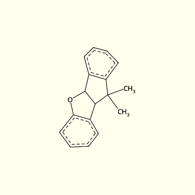 CC1(C)c2ccccc2C2Oc3ccccc3C21